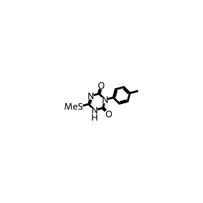 CSc1nc(=O)n(-c2ccc(C)cc2)c(=O)[nH]1